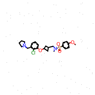 COc1ccc(S(=O)(=O)N(C)CC2CC(Oc3cccc(CN4CCCC4)c3Cl)C2)cc1